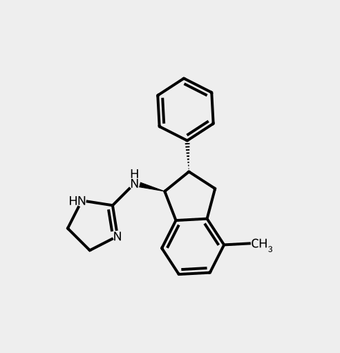 Cc1cccc2c1C[C@@H](c1ccccc1)[C@@H]2NC1=NCCN1